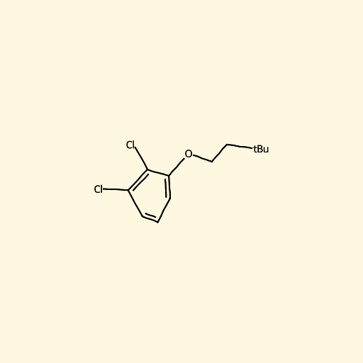 CC(C)(C)CCOc1cccc(Cl)c1Cl